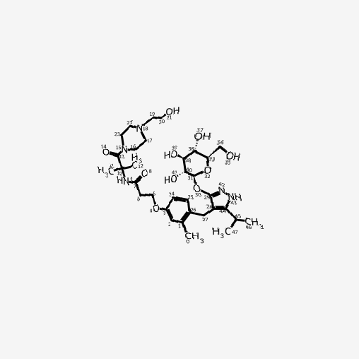 Cc1cc(OCCC(=O)NC(C)(C)C(=O)N2CCN(CCO)CC2)ccc1Cc1c(O[C@@H]2O[C@H](CO)[C@@H](O)[C@H](O)[C@H]2O)n[nH]c1C(C)C